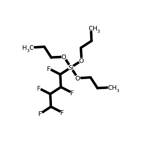 CCCO[Si](OCCC)(OCCC)C(F)C(F)C(F)C(F)F